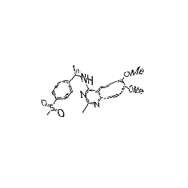 COc1cc2nc(C)nc(N[C@H](C)c3ccc(S(C)(=O)=O)cc3)c2cc1OC